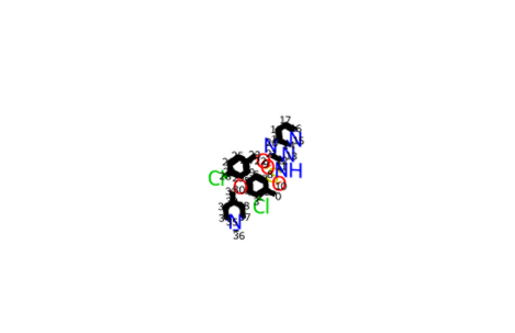 Cc1c(Cl)cccc1S(=O)(=O)Nc1nc2ncccc2nc1OCc1ccc(Cl)c(OCC2CCN(C)CC2)c1